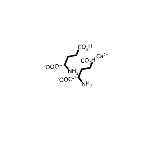 N[C@@H](CCC(=O)O)C(=O)[O-].N[C@@H](CCC(=O)O)C(=O)[O-].[Ca+2]